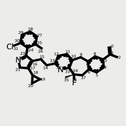 C=C(C)c1ccc2c(c1)Cc1ccc(CCC3=C(C4CC4)CN=C3c3c(C)cccc3Cl)nc1[C@@](C)(F)C2